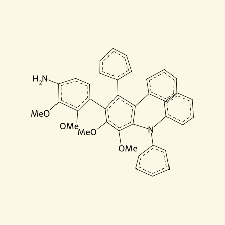 COc1c(N)ccc(-c2c(OC)c(OC)c(N(c3ccccc3)c3ccccc3)c(-c3ccccc3)c2-c2ccccc2)c1OC